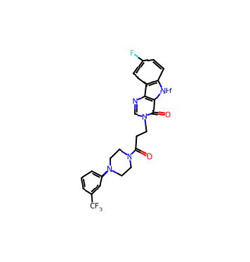 O=C(CCn1cnc2c([nH]c3ccc(F)cc32)c1=O)N1CCN(c2cccc(C(F)(F)F)c2)CC1